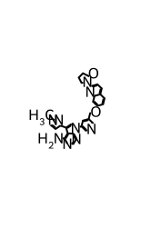 Cn1ccc(-c2cn(-c3cncc(COc4ccc5ccc(N6CCCC6=O)nc5c4)c3)c3ncnc(N)c23)n1